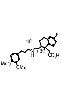 CCCCC1(CC(=O)O)c2ccc(F)cc2CCC1CCNCCCc1ccc(OC)c(OC)c1.Cl